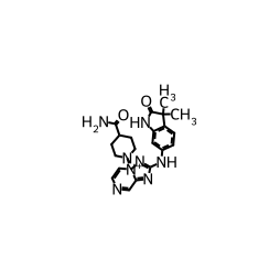 CC1(C)C(=O)Nc2cc(NC3=N[N+]4(N5CCC(C(N)=O)CC5)C=CN=CC4=N3)ccc21